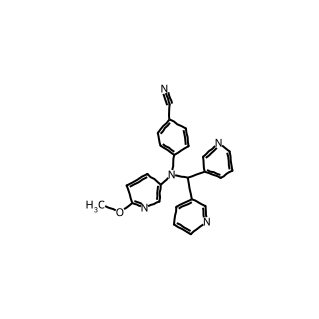 COc1ccc(N(c2ccc(C#N)cc2)C(c2cccnc2)c2cccnc2)cn1